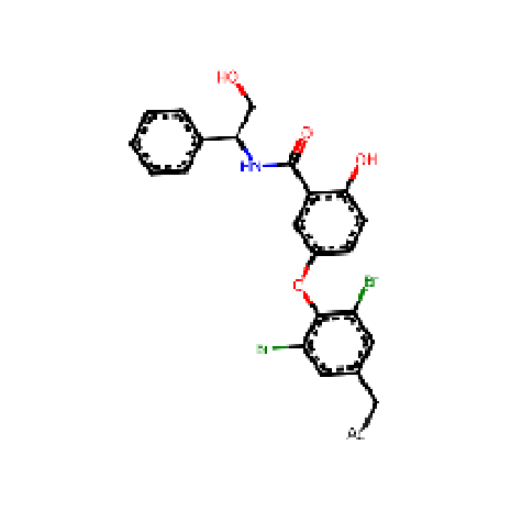 CC(=O)Cc1cc(Br)c(Oc2ccc(O)c(C(=O)N[C@H](CO)c3ccccc3)c2)c(Br)c1